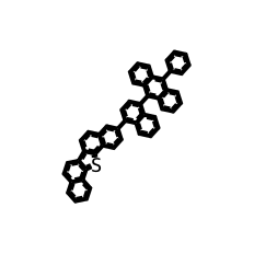 c1ccc(-c2c3ccccc3c(-c3ccc(-c4ccc5c(ccc6c7ccc8ccccc8c7sc56)c4)c4ccccc34)c3ccccc23)cc1